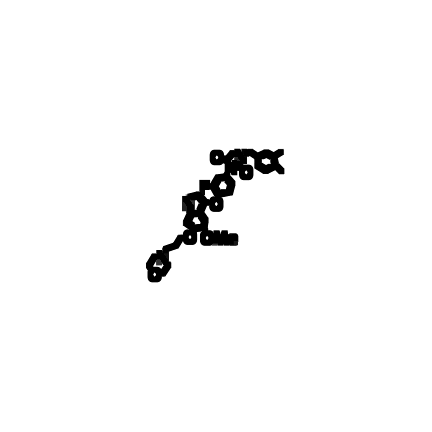 COc1cc2c(Oc3ccc(N4C(=O)CN(Cc5ccc(C)c(C)c5)C4=O)cc3F)ccnc2cc1OCCCN1CCOCC1